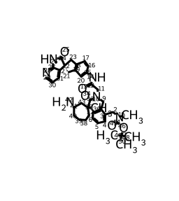 CN(Cc1ccccc1CN(CC(=O)Nc1ccc2c(c1)C[C@@]1(C2)C(=O)Nc2ncccc21)C(=O)C1(C)CCCCC(N)C1)C(=O)OC(C)(C)C